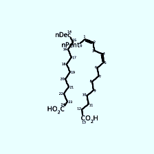 CCCCC/C=C\C/C=C\CCCCCCCC(=O)O.CCCCCCCCCCCCCCCCCCCC(=O)O